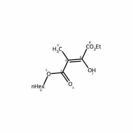 CCCCCCOC(=O)/C(C)=C(\O)C(=O)OCC